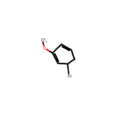 CCC1C=C(OC(F)(F)F)C=CC1